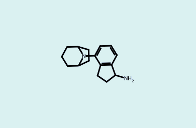 NC1CCc2c1cccc2N1C2CCCC1CC2